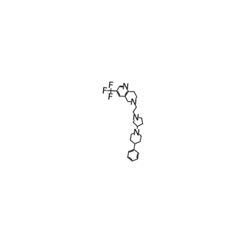 FC(F)(F)c1cnc2c(c1)CN(CCN1CCC(N3CCC(c4ccccc4)CC3)C1)CC2